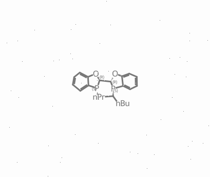 CCCCC(CCC)[P@]1c2ccccc2O[C@H]1[C@@H]1Oc2ccccc2[P@@]1C